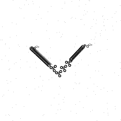 [Cl-].[Cl-].[Cl-].[Cl-].[Cl-].[Cl-].[Cl-].[Cl-].[Cl-].[Cl-].[Cl-].[Cl-].[Cl-].[Cl-].[Cl-].[Cl-].[Cl-].[Cl-].[Cl-].[Cl-].[Cl-].[Cl-].[Cl-].[Cl-].[Cl-].[Cl-].[Cl-].[Cl-].[Cl-].[Cl-].[Cl-].[Cl-].[Cl-].[Cl-].[Cl-].[Cl-].[Cl-].[Cl-].[Cl-].[Cl-].[Cl-].[Cl-].[Cl-].[Cl-].[Cl-].[Cl-].[Cl-].[Cl-].[Cl-].[Cl-].[Cl-].[Cl-].[Pd+2].[Pd+2].c1ccc(P(c2ccccc2)c2ccccc2)cc1.c1ccc(P(c2ccccc2)c2ccccc2)cc1.c1ccc(P(c2ccccc2)c2ccccc2)cc1.c1ccc(P(c2ccccc2)c2ccccc2)cc1